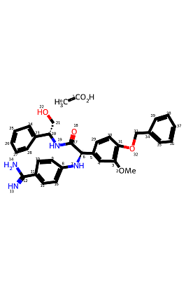 CC(=O)O.COc1cc([C@@H](Nc2ccc(C(=N)N)cc2)C(=O)N[C@@H](CO)c2ccccc2)ccc1OCc1ccccc1